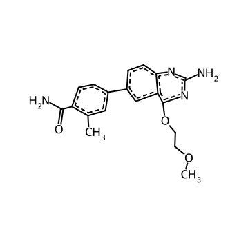 COCCOc1nc(N)nc2ccc(-c3ccc(C(N)=O)c(C)c3)cc12